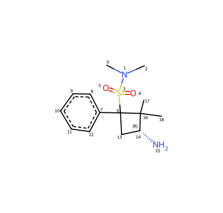 CN(C)S(=O)(=O)C1(c2ccccc2)C[C@@H](N)C1(C)C